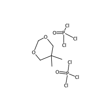 CC1(C)COCOC1.O=P(Cl)(Cl)Cl.O=P(Cl)(Cl)Cl